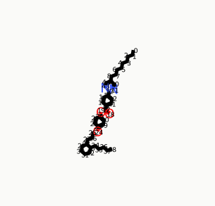 CCCCCCCCCc1cnc(-c2ccc(C(=O)Oc3ccc(OCCCC4CCCCC4CCCCC)cc3)cc2)nc1